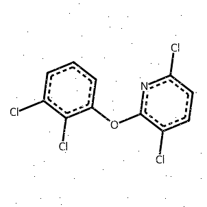 Clc1[c]cc(Cl)c(Oc2cccc(Cl)c2Cl)n1